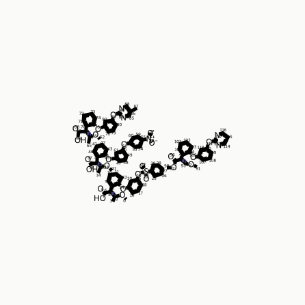 CO/C(C)=C(/C(=O)O)c1ccccc1Oc1cccc(OS(=O)(=O)c2ccccc2)c1.CO/C(C)=C(/C(=O)O)c1ccccc1Oc1cccc(Oc2ccc([N+](=O)[O-])cc2)c1.CO/C(C)=C(/C(=O)O)c1ccccc1Oc1cccc(Oc2ncc(C)cn2)c1.CO/C=C(/C(=O)OC)c1ccccc1Oc1cccc(Oc2ncccn2)c1